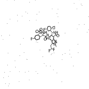 Cn1nc2c3c(c(NC(=O)C4NS(=O)(=O)c5cc(F)ccc54)cc2c1CC(F)F)C(c1cc(F)ccc1Cl)NC3=O